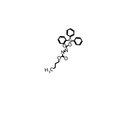 CCCCOC(=O)N=NC(=O)O[Si](c1ccccc1)(c1ccccc1)c1ccccc1